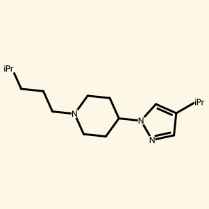 CC(C)CCCN1CCC(n2cc(C(C)C)cn2)CC1